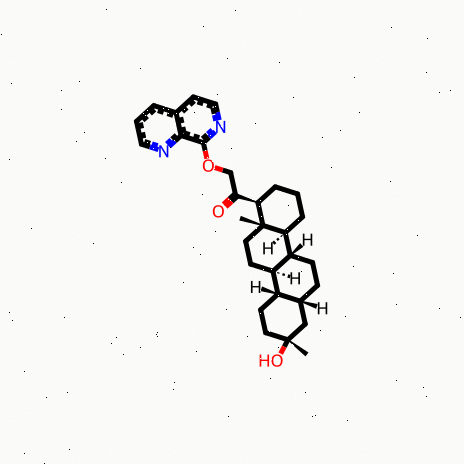 C[C@@]1(O)CC[C@H]2[C@H](CC[C@@H]3[C@@H]2CC[C@]2(C)[C@@H](C(=O)COc4nccc5cccnc45)CCC[C@@H]32)C1